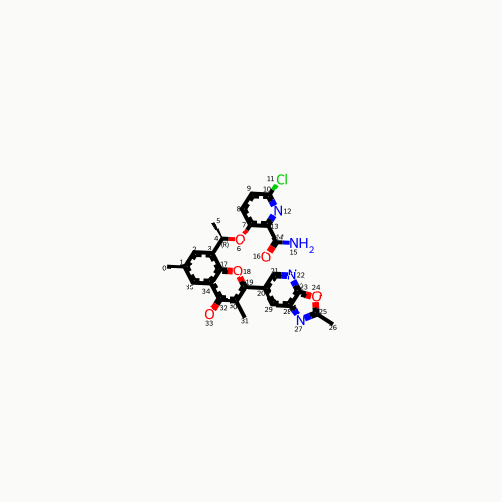 Cc1cc([C@@H](C)Oc2ccc(Cl)nc2C(N)=O)c2oc(-c3cnc4oc(C)nc4c3)c(C)c(=O)c2c1